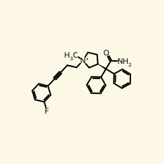 C[N+]1(CCC#Cc2cccc(F)c2)CC[C@@H](C(C(N)=O)(c2ccccc2)c2ccccc2)C1